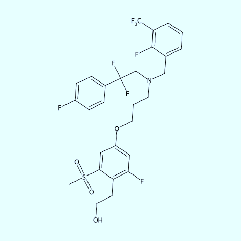 CS(=O)(=O)c1cc(OCCCN(Cc2cccc(C(F)(F)F)c2F)CC(F)(F)c2ccc(F)cc2)cc(F)c1CCO